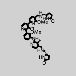 COc1nc(-c2ccnc(-c3cccc(Nc4nccc(CNC[C@@H]5CCC(=O)N5)c4F)c3OC)c2Cl)ccc1CNC[C@H]1CCC(=O)N1